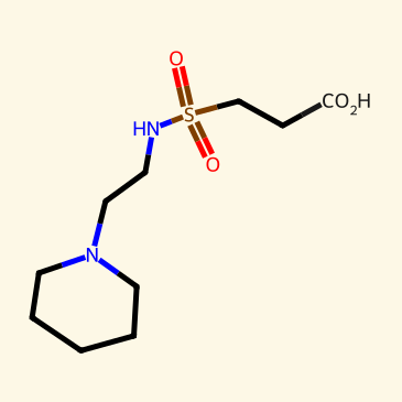 O=C(O)CCS(=O)(=O)NCCN1CCCCC1